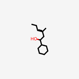 CCC=C(C)CC(O)C1CCCCC1